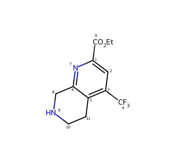 CCOC(=O)c1cc(C(F)(F)F)c2c(n1)CNCC2